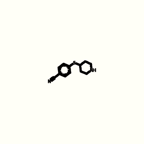 N#Cc1ccc(SC2CCNCC2)cc1